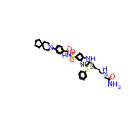 NC(=O)CNCCCC[C@H](CSc1ccccc1)Nc1ccc(S(=O)(=O)NC(=O)c2ccc(N3CCC4(CCCC4)CC3)cc2)cc1[N+](=O)[O-]